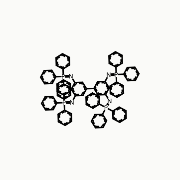 c1ccc(P(=Nc2cc(N=P(c3ccccc3)(c3ccccc3)c3ccccc3)cc(-c3cc(N=P(c4ccccc4)(c4ccccc4)c4ccccc4)cc(N=P(c4ccccc4)(c4ccccc4)c4ccccc4)c3)c2)(c2ccccc2)c2ccccc2)cc1